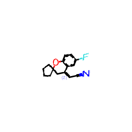 N#C/C=C1/CC2(CCCC2)Oc2ccc(F)cc21